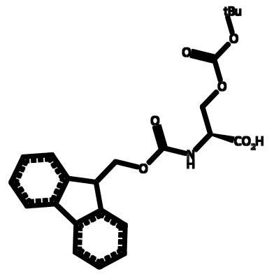 CC(C)(C)OC(=O)OC[C@H](NC(=O)OCC1c2ccccc2-c2ccccc21)C(=O)O